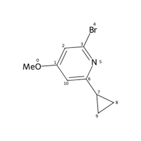 COc1cc(Br)nc(C2CC2)c1